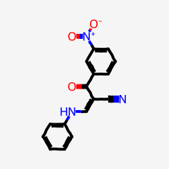 N#CC(=CNc1ccccc1)C(=O)c1cccc([N+](=O)[O-])c1